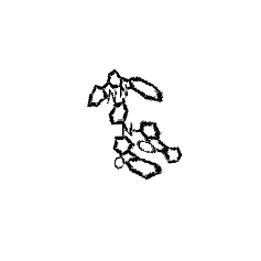 c1ccc2c(c1)oc1ccc(N(c3ccc4c(c3)n3c5ccccc5c5ccc6c7ccccc7n4c6c53)c3cccc4c3oc3ccccc34)cc12